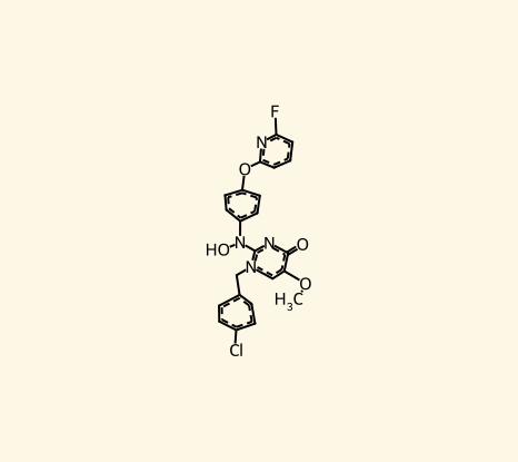 COc1cn(Cc2ccc(Cl)cc2)c(N(O)c2ccc(Oc3cccc(F)n3)cc2)nc1=O